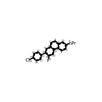 CCCc1ccc2c(ccc3cc(-c4ccc(Cl)cc4)c(F)cc32)c1